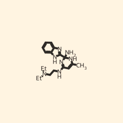 CCN(CC)CCNC1=NC(N)(c2nc3ccccc3[nH]2)NC(C)=C1